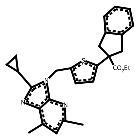 CCOC(=O)C1(c2ccc(Cn3c(C4CC4)nc4c(C)cc(C)nc43)s2)Cc2ccccc2C1